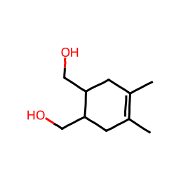 CC1=C(C)CC(CO)C(CO)C1